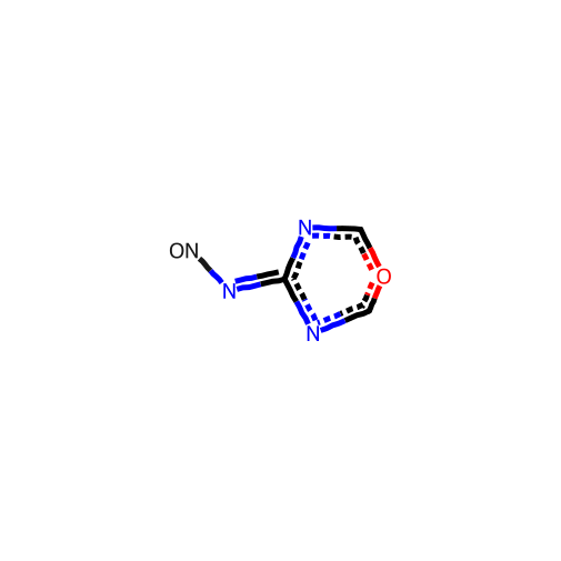 O=NN=c1ncocn1